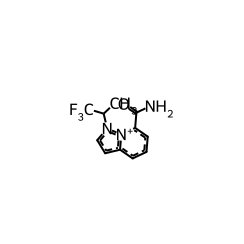 CC(n1ccc2cccc(C(N)=O)[n+]21)C(F)(F)F